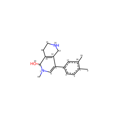 Cc1ccc(C2=CN(C)C(O)C3=C2CNCC3)cc1C